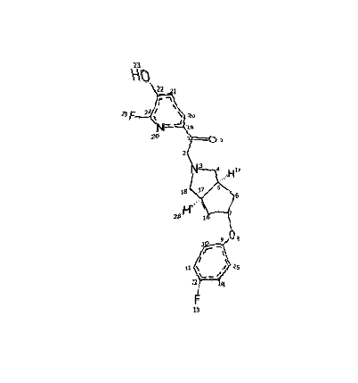 O=C(CN1C[C@H]2CC(Oc3ccc(F)cc3)C[C@H]2C1)c1ccc(O)c(F)n1